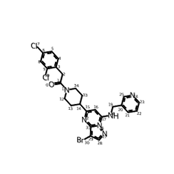 O=C(Cc1ccc(Cl)cc1Cl)N1CCC(c2cc(NCc3cccnc3)n3ncc(Br)c3n2)CC1